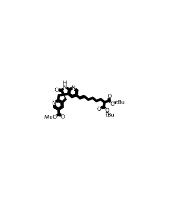 COC(=O)c1cnc2c(c1)C[C@@]1(C2)C(=O)Nc2ncc(/C=C/CCCCC(C(=O)OC(C)(C)C)C(=O)OC(C)(C)C)cc21